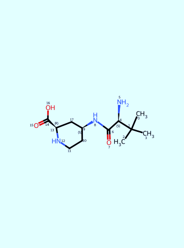 CC(C)(C)[C@H](N)C(=O)N[C@H]1CCN[C@@H](C(=O)O)C1